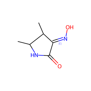 CC1NC(=O)/C(=N/O)C1C